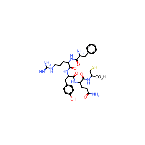 N=C(N)NCCCC(NC(=O)C(N)Cc1ccccc1)C(=O)NC(Cc1ccc(O)cc1)C(=O)NC(CCC(N)=O)C(=O)NC(CS)C(=O)O